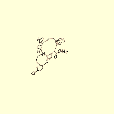 COC(=O)C1CC(=O)N(C)CC/C=C/[C@H](O)[C@@H]2CC[C@H]2CN2CCCCc3cc(Cl)ccc3COc3ccc1cc32